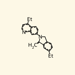 C=C1c2cc(CC)ccc2CN1c1ccc2c(CC)ccnc2c1